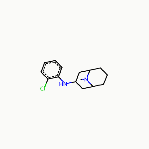 CN1C2CCCC1CC(Nc1ccccc1Cl)C2